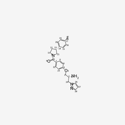 N[C@@H](COc1ccc(C(=O)N2CC[C@H](c3ccc(F)cc3)C2)cc1)Cn1cccn1